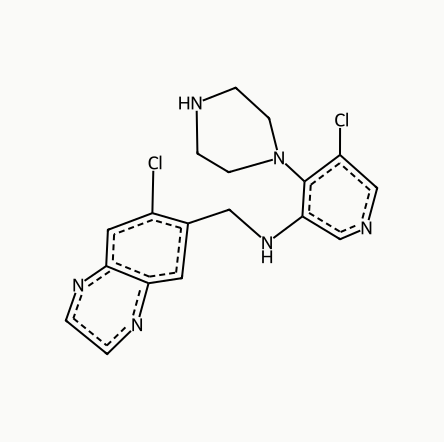 Clc1cc2nccnc2cc1CNc1cncc(Cl)c1N1CCNCC1